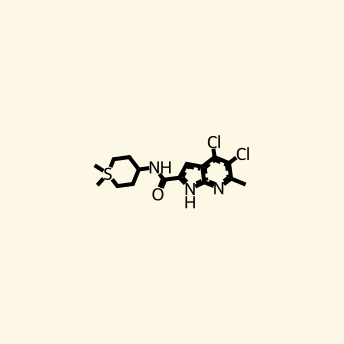 Cc1nc2[nH]c(C(=O)NC3CCS(C)(C)CC3)cc2c(Cl)c1Cl